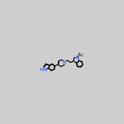 CC(=O)N1CC(CCN2CC=C(c3ccc4[nH]ccc4c3)CC2)c2ccccc21